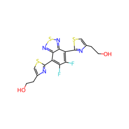 OCCc1csc(-c2c(F)c(F)c(-c3nc(CCO)cs3)c3nsnc23)n1